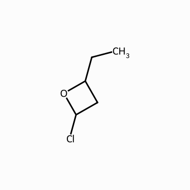 CCC1CC(Cl)O1